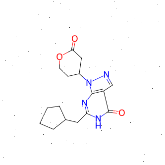 O=C1CC(n2ncc3c(=O)[nH]c(CC4CCCC4)nc32)CCO1